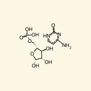 Nc1cc[nH]c(=O)n1.O=P(O)(O)OC[C@H]1O[C@@H](O)[C@@H](O)[C@@H]1O